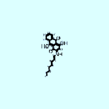 CCCCCCCCNC1=CC(O)=C2C(=O)c3ccccc3C(O)=C2C1=O